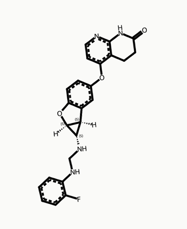 O=C1CCc2c(Oc3ccc4c(c3)[C@H]3[C@H](NCNc5ccccc5F)[C@H]3O4)ccnc2N1